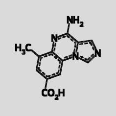 Cc1cc(C(=O)O)cc2c1nc(N)c1cncn12